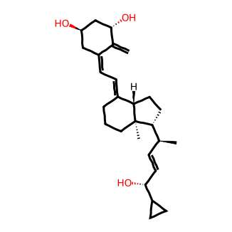 C=C1/C(=C\C=C2/CCC[C@]3(C)[C@@H]([C@@H](C)/C=C/[C@@H](O)C4CC4)CC[C@@H]23)C[C@@H](O)C[C@@H]1O